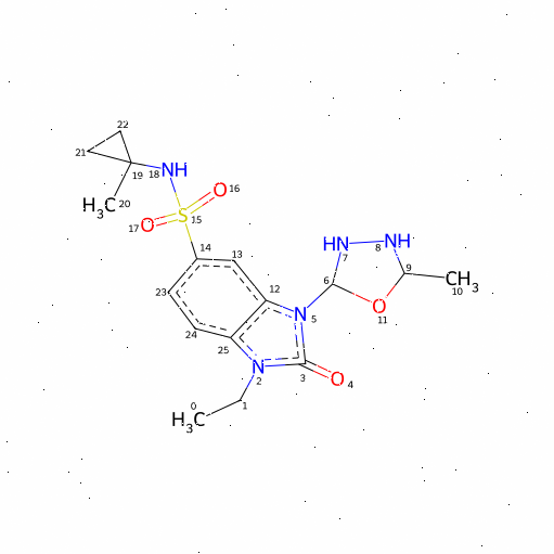 CCn1c(=O)n(C2NNC(C)O2)c2cc(S(=O)(=O)NC3(C)CC3)ccc21